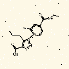 CCCc1c(C(=O)O)nnn1-c1ccc(C(=O)NCC)cc1C